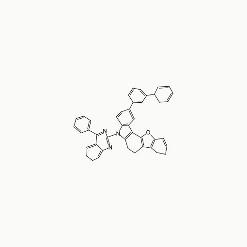 C1=CCC(c2cccc(-c3ccc4c(c3)c3c(n4-c4nc(-c5ccccc5)c5c(n4)=CCCC=5)CCc4c-3oc3c4CCC=C3)c2)C=C1